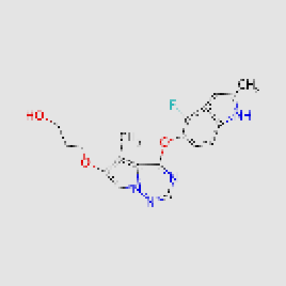 Cc1cc2c(F)c(Oc3ncnn4cc(OCCCO)c(C)c34)ccc2[nH]1